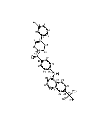 Cc1cccc(C2=CCN(C(=O)c3ccc(Nc4ccnc5cc(C(F)(F)F)ccc45)cc3)CC2)c1